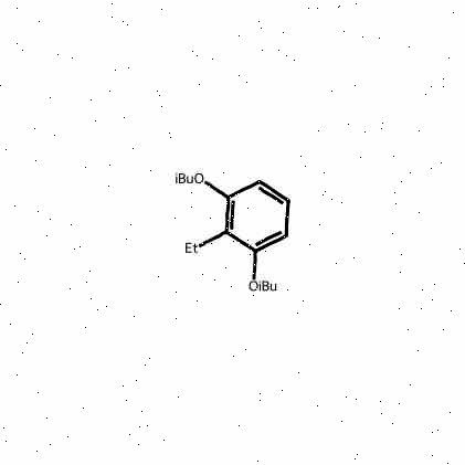 [CH2]Cc1c(OCC(C)C)cccc1OCC(C)C